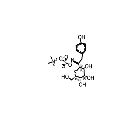 C[N+](C)(C)C.O=S(=O)([O-])ON=C(Cc1ccc(O)cc1)[C@@H]1S[C@H](CO)[C@@H](O)[C@H](O)[C@H]1O